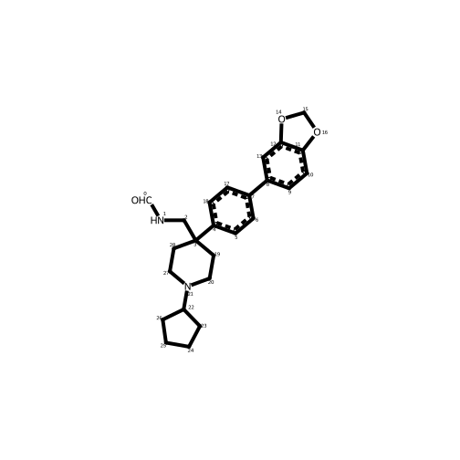 O=CNCC1(c2ccc(-c3ccc4c(c3)OCO4)cc2)CCN(C2CCCC2)CC1